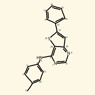 Cc1ccc(Nc2ncnc3cc(-c4ccccc4)sc23)cc1